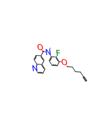 C#CCCCCOc1cccc(N(C)C(=O)c2ccc3ncccc3c2)c1F